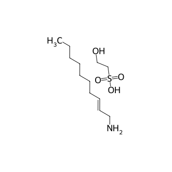 CCCCCCCC=CCN.O=S(=O)(O)CCO